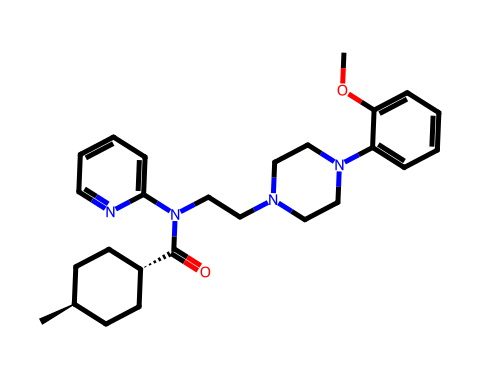 COc1ccccc1N1CCN(CCN(c2ccccn2)C(=O)[C@H]2CC[C@H](C)CC2)CC1